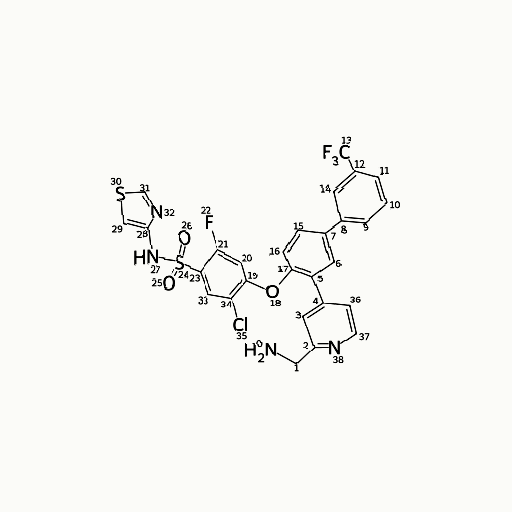 NCc1cc(-c2cc(-c3cccc(C(F)(F)F)c3)ccc2Oc2cc(F)c(S(=O)(=O)Nc3cscn3)cc2Cl)ccn1